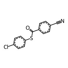 N#Cc1ccc(C(=O)Sc2ccc(Cl)cc2)cc1